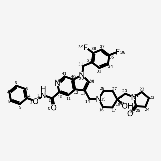 O=C(NOc1ccccc1)c1cc2c(CN3CCC(O)(CN4CCCC4=O)CC3)cn(Cc3ccc(F)cc3F)c2cn1